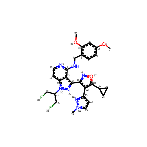 COc1ccc(CNc2nccc3c2c(-c2noc(C4CC4)c2-c2ccn(C)n2)nn3C(CF)CF)c(OC)c1